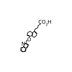 O=C(O)CCCCC1=CCCC2=C1CCC=C2OCc1ccc2ccccc2n1